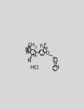 Cl.Cn1nnc2c(C#N)nc(-c3ccc(OCC[C@@H]4CCN(c5ccccn5)C4)c(C(F)(F)F)c3)cc21